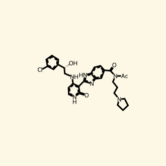 CC(=O)N(CCCN1CCCC1)C(=O)c1ccc2[nH]c(-c3c(NC[C@@H](O)c4cccc(Cl)c4)cc[nH]c3=O)nc2c1